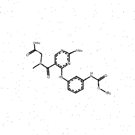 COC(=O)CN(C)C(=O)c1cnc(SC)nc1Nc1cccc(NC(=O)OC(C)(C)C)c1